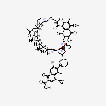 CO[C@H]1/C=C/O[C@@]2(C)Oc3c(C)c(O)c4c(c3C2=O)C(=O)C(/C=N/N2CCC(C3CCCN(c5c(F)cn6c(=O)c(C(=O)O)cc(C7CC7)c6c5C)C3)C2)=C(NC(=O)/C(C)=C\C=C\[C@H](C)[C@H](O)[C@@H](C)[C@@H](O)[C@@H](C)[C@H](OC(C)=O)[C@@H]1C)C4=O